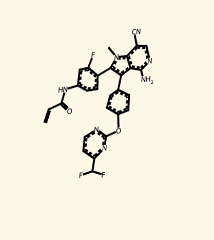 C=CC(=O)Nc1ccc(-c2c(-c3ccc(Oc4nccc(C(F)F)n4)cc3)c3c(N)ncc(C#N)c3n2C)c(F)c1